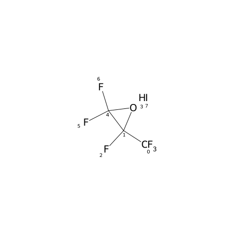 FC(F)(F)C1(F)OC1(F)F.I